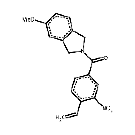 C=Cc1ccc(C(=O)N2Cc3ccc(OC)cc3C2)cc1[N+](=O)[O-]